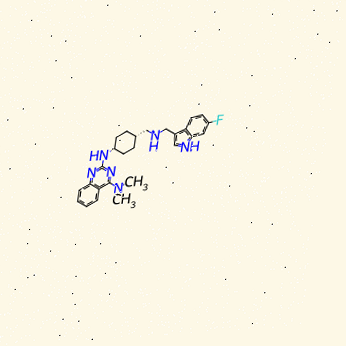 CN(C)c1nc(N[C@H]2CC[C@@H](CNCc3c[nH]c4cc(F)ccc34)CC2)nc2ccccc12